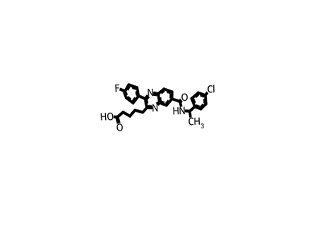 CC(NC(=O)c1ccc2nc(-c3ccc(F)cc3)c(CCCCC(=O)O)nc2c1)c1ccc(Cl)cc1